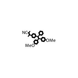 COc1ccc(C(=C(c2ccccc2)c2ccc(/C(C)=C(\C)C#N)cc2)c2ccc(OC)cc2)cc1